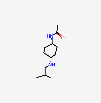 CC(=O)N[C@H]1CC[C@H](NCC(C)C)CC1